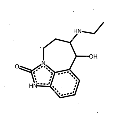 CCNC1CCn2c(=O)[nH]c3cccc(c32)C1O